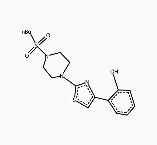 CCCCS(=O)(=O)N1CCN(c2nc(-c3ccccc3O)cs2)CC1